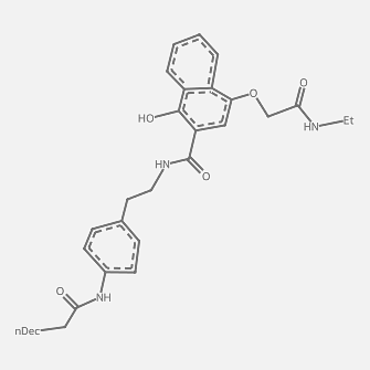 CCCCCCCCCCCC(=O)Nc1ccc(CCNC(=O)c2cc(OCC(=O)NCC)c3ccccc3c2O)cc1